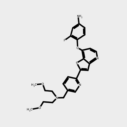 COCCN(CCOC)Cc1ccc(-c2cc3nccc(Oc4ccc(N)cc4F)c3s2)nc1